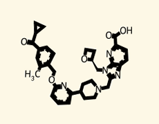 Cc1cc(C(=O)C2CC2)ccc1COc1cccc(C2CCN(Cc3nc4ccc(C(=O)O)nc4n3C[C@@H]3CCO3)CC2)n1